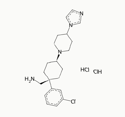 Cl.Cl.NC[C@]1(c2cccc(Cl)c2)CC[C@H](N2CCC(n3ccnc3)CC2)CC1